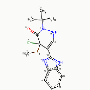 CSC1(Cl)C(=O)N(C(C)(C)C)NC=C1c1nc2ccccc2[nH]1